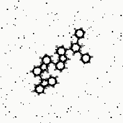 c1ccc(-c2nc(-c3ccccc3)nc(-c3cccc4c3oc3cccc(-c5cccc6c5oc5c(-n7c8ccccc8c8ccccc87)cccc56)c34)n2)cc1